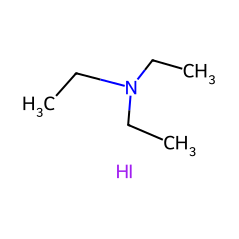 CCN(CC)CC.I